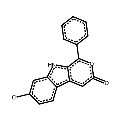 O=c1cc2c([nH]c3cc(Cl)ccc32)c(-c2ccccc2)o1